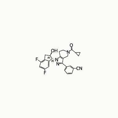 N#Cc1cccc(-c2nn([C@@H]3c4cc(F)cc(F)c4C[C@H]3O)c3c2CN(C(=O)C2CC2)CC3)c1